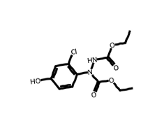 CCOC(=O)NN(C(=O)OCC)c1ccc(O)cc1Cl